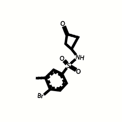 Cc1cc(S(=O)(=O)NC2CC(=O)C2)ccc1Br